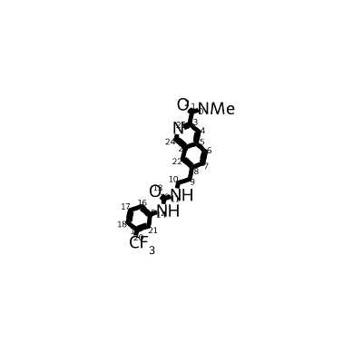 CNC(=O)c1cc2ccc(CCNC(=O)Nc3cccc(C(F)(F)F)c3)cc2cn1